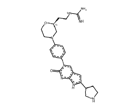 N=C(N)NCC[C@H]1CN(c2ccc(-n3cc4cc(C5CCNC5)[nH]c4nc3=O)cc2)CCO1